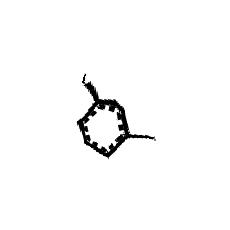 Ic1[c]ccc(I)c1